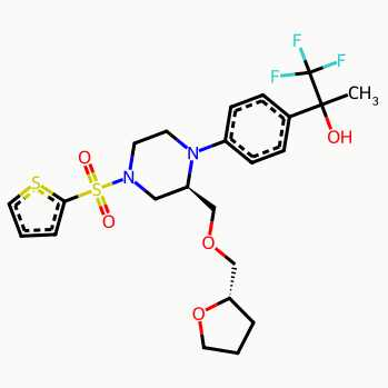 CC(O)(c1ccc(N2CCN(S(=O)(=O)c3cccs3)C[C@@H]2COC[C@@H]2CCCO2)cc1)C(F)(F)F